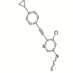 S=C=Nc1cnc(C#Cc2ccc(C3CC3)cc2)c(Cl)c1